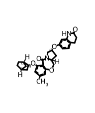 Cc1cc2c(c(O[C@@H]3C[C@@H]4CC[C@H]3C4)c1)C(=O)N1C[C@@H](Oc3ccc4c(c3)NC(=O)CC4)C[C@@H]1CO2